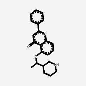 CC(Oc1cccc2oc(-c3ccccc3)cc(=O)c12)C1CCCNC1